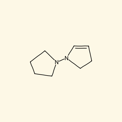 C1=CN(N2CCCC2)CC1